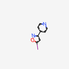 Ic1cc(-c2ccncc2)no1